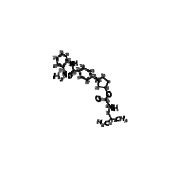 CC(C)CNC(=O)OC1CCN(c2ccc(C(=O)Nc3ccccc3N)cc2)C1